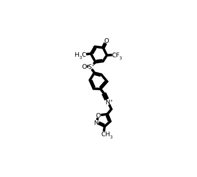 CC1=[C]C(=O)C(C(F)(F)F)C=C1[S+]([O-])c1ccc(C#[N+]Cc2cc(C)no2)cc1